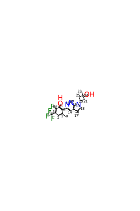 Cc1cc(C(F)(F)F)c(F)c(O)c1-c1cc2c(C)cn(C3CC(C)(O)C3)c2nn1